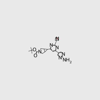 CC(C)(C)OC(=O)N1CC2C(C1)C2c1cc(-c2cnc(N)nc2)nc(N2CC3CC2C3)n1